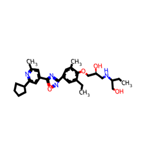 CCc1cc(-c2noc(-c3cc(C)nc(C4CCCC4)c3)n2)cc(C)c1OC[C@@H](O)CNC(CC)CO